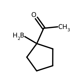 BC1(C(C)=O)CCCC1